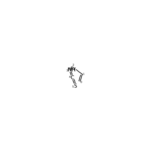 C=CCCC.N=C=S